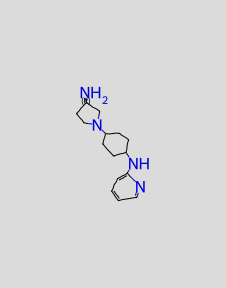 N[C@@H]1CCN(C2CCC(Nc3ccccn3)CC2)C1